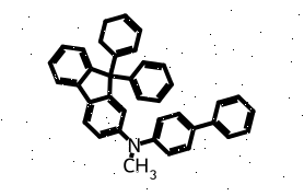 CN(c1ccc(-c2ccccc2)cc1)c1ccc2c(c1)C(C1=CC=CCC1)(c1ccccc1)c1ccccc1-2